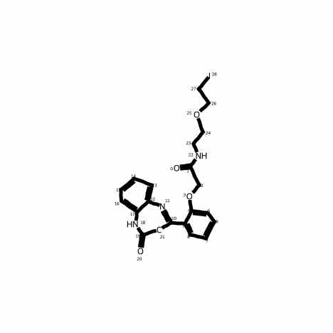 O=C(COc1ccccc1C1=Nc2ccccc2NC(=O)C1)NCCOCCI